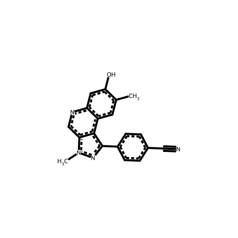 Cc1cc2c(cc1O)ncc1c2c(-c2ccc(C#N)cc2)nn1C